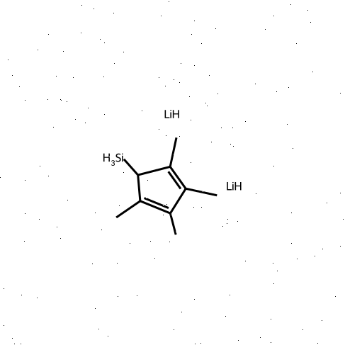 CC1=C(C)C([SiH3])C(C)=C1C.[LiH].[LiH]